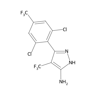 Nc1[nH]nc(-c2c(Cl)cc(C(F)(F)F)cc2Cl)c1C(F)(F)F